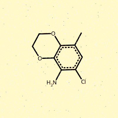 Cc1cc(Cl)c(N)c2c1OCCO2